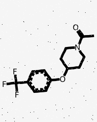 CC(=O)N1CCC(Oc2ccc(C(F)(F)F)cc2)CC1